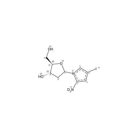 O=[N+]([O-])c1cc(I)cn1C1C[C@H](O)[C@@H](CO)O1